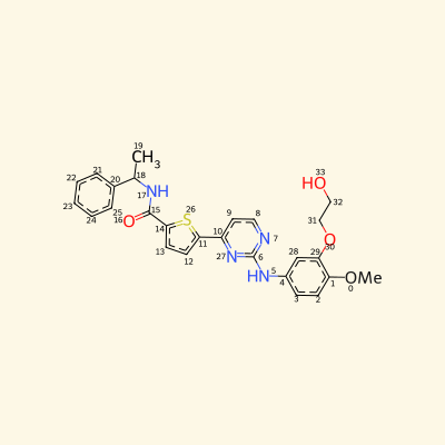 COc1ccc(Nc2nccc(-c3ccc(C(=O)NC(C)c4ccccc4)s3)n2)cc1OCCO